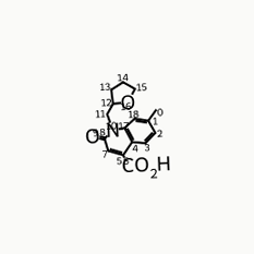 Cc1ccc2c(C(=O)O)cc(=O)n(CC3CCCO3)c2c1